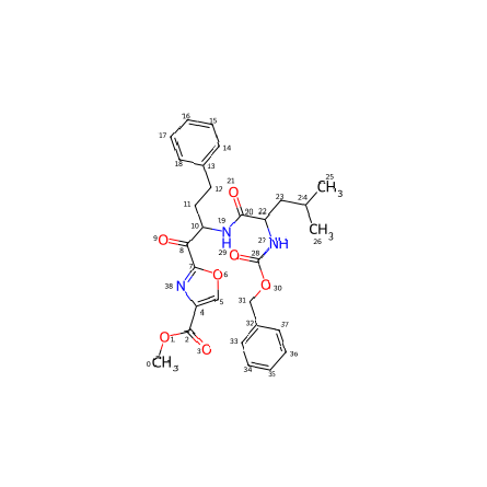 COC(=O)c1coc(C(=O)C(CCc2ccccc2)NC(=O)C(CC(C)C)NC(=O)OCc2ccccc2)n1